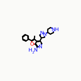 Cc1c(-c2ccccc2)oc2c(N)ncc(C3C=NN(C4CCNCC4)C3)c12